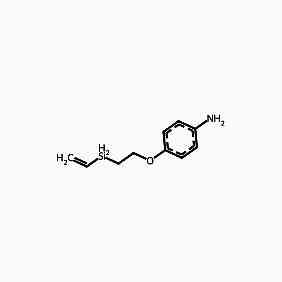 C=C[SiH2]CCOc1ccc(N)cc1